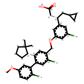 COc1ccc(F)c(-c2cc(F)c(COc3cc(F)cc([C@H](CC(=O)O)CC4CC4)c3)cc2[C@@H]2CCCC2(C)C)c1